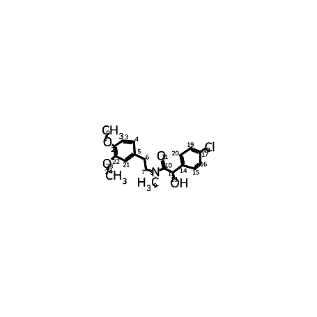 COc1ccc(CCN(C)C(=O)C(O)c2ccc(Cl)cc2)cc1OC